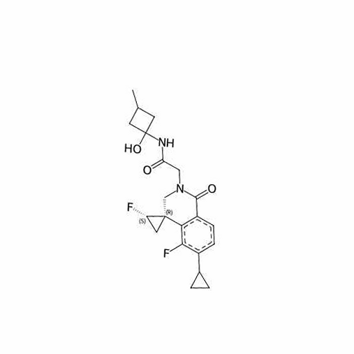 CC1CC(O)(NC(=O)CN2C[C@@]3(C[C@@H]3F)c3c(ccc(C4CC4)c3F)C2=O)C1